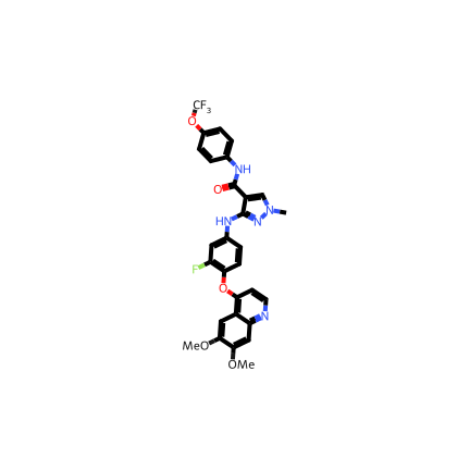 COc1cc2nccc(Oc3ccc(Nc4nn(C)cc4C(=O)Nc4ccc(OC(F)(F)F)cc4)cc3F)c2cc1OC